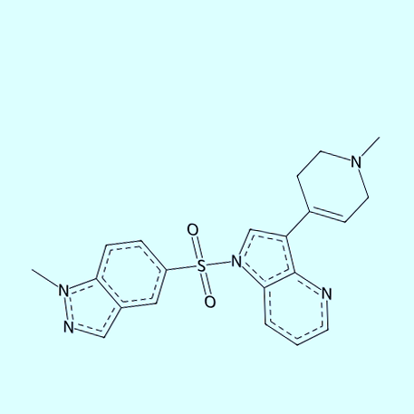 CN1CC=C(c2cn(S(=O)(=O)c3ccc4c(cnn4C)c3)c3cccnc23)CC1